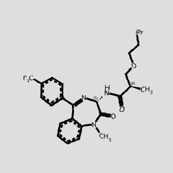 CC(C)CCOC[C@@H](C)C(=O)N[C@H]1N=C(c2ccc(C(F)(F)F)cc2)c2ccccc2N(C)C1=O